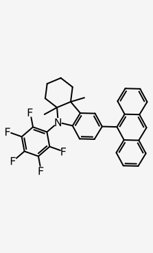 CC12CCCCC1(C)N(c1c(F)c(F)c(F)c(F)c1F)c1ccc(-c3c4ccccc4cc4ccccc34)cc12